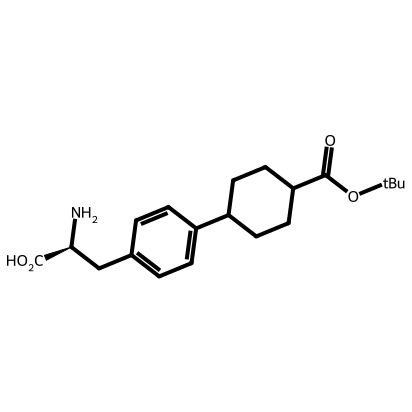 CC(C)(C)OC(=O)C1CCC(c2ccc(C[C@H](N)C(=O)O)cc2)CC1